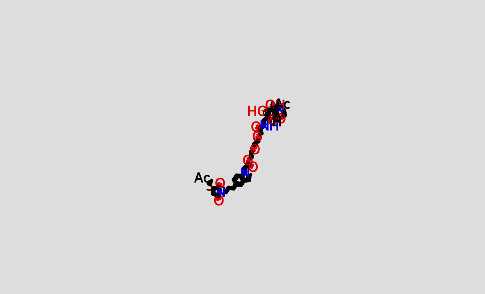 CC(=O)CSC1CC(=O)N(CCCc2ccc3c(ccn3CC(=O)OCCOCCOCC(=O)NCC3O[C@@H]4OCCN(C(C)=O)[C@H]4[C@@H](O)[C@H]3O)c2)C1=O